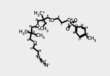 CCC(C)(COCCOS(=O)(=O)c1ccc(C)cc1)COCC(C)(C)COCCN=[N+]=[N-]